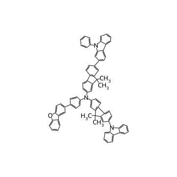 CC1(C)c2cc(-c3ccc4c5ccccc5n(-c5ccccc5)c4c3)ccc2-c2ccc(N(c3ccc(-c4ccc5oc6ccccc6c5c4)cc3)c3ccc4c(c3)C(C)(C)c3cc(-n5c6ccccc6c6ccccc65)ccc3-4)cc21